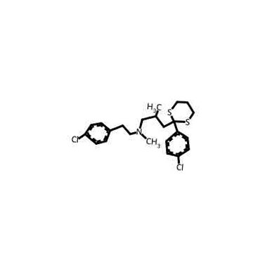 CC(CN(C)CCc1ccc(Cl)cc1)CC1(c2ccc(Cl)cc2)SCCCS1